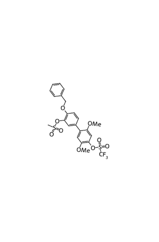 COc1cc(-c2ccc(OCc3ccccc3)c(OS(C)(=O)=O)c2)c(OC)cc1OS(=O)(=O)C(F)(F)F